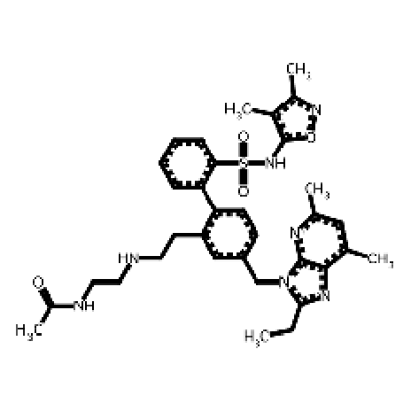 CCc1nc2c(C)cc(C)nc2n1Cc1ccc(-c2ccccc2S(=O)(=O)Nc2onc(C)c2C)c(CCNCCNC(C)=O)c1